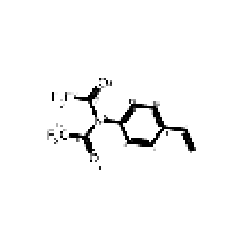 C=Cc1ccc(N(C(=O)C(F)(F)F)C(=O)C(F)(F)F)cc1